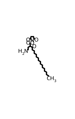 CCCCCCCCCCCCCCCCCC(=O)C(CCN)C(=O)ON1C(=O)CCC1=O